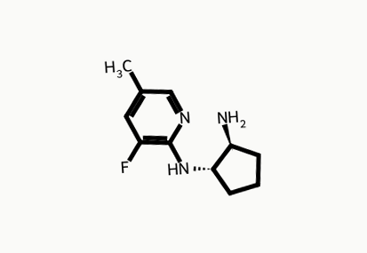 Cc1cnc(N[C@H]2CCC[C@@H]2N)c(F)c1